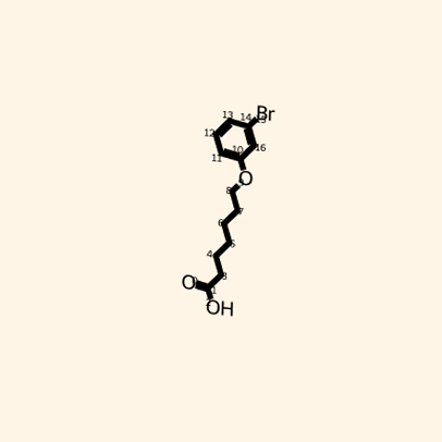 O=C(O)CCCCCCOc1cccc(Br)c1